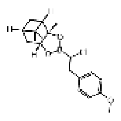 COc1ccc(CC(Cl)B2O[C@@H]3C[C@@H]4C[C@@H](C4(C)C)[C@]3(C)O2)cc1